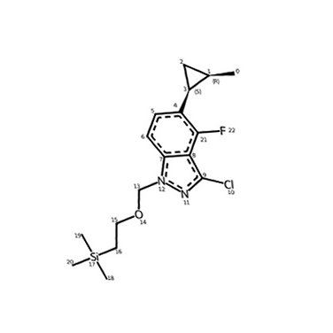 C[C@@H]1C[C@@H]1c1ccc2c(c(Cl)nn2COCC[Si](C)(C)C)c1F